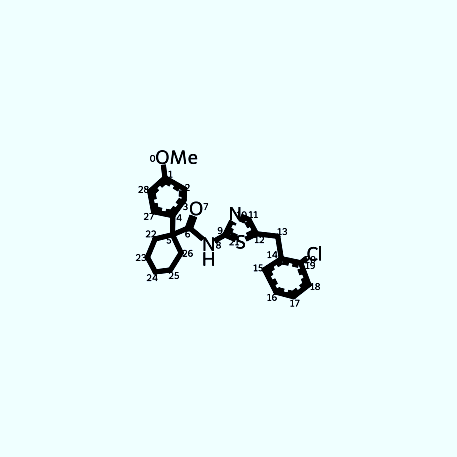 COc1ccc(C2(C(=O)Nc3ncc(Cc4ccccc4Cl)s3)CCCCC2)cc1